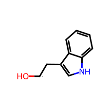 O[CH]Cc1c[nH]c2ccccc12